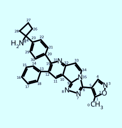 Cc1oncc1-c1nnc2c3cc(-c4ccccc4)c(-c4ccc(C5(N)CCC5)cc4)nc3ccn12